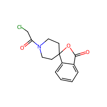 O=C1OC2(CCN(C(=O)CCl)CC2)c2ccccc21